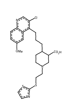 COc1ccc2ncc(Cl)c(CCCC3CCN(CCSc4nccs4)CC3C(=O)O)c2c1